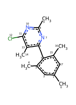 Cc1cc(C)c(-c2nc(C)nc(Cl)c2C)c(C)c1